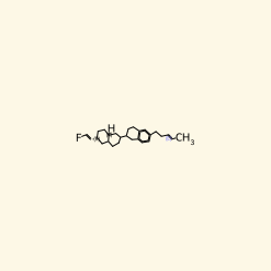 C/C=C/CCc1ccc2c(c1)CCC(C1CCC3C[C@H](C=CF)CC[C@@H]3C1)C2